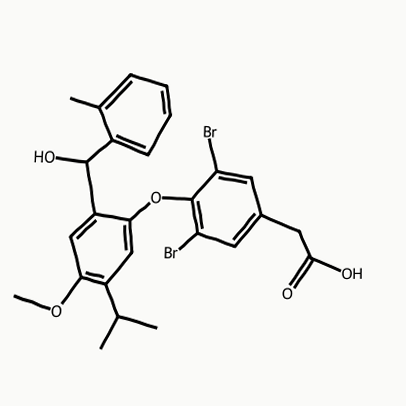 COc1cc(C(O)c2ccccc2C)c(Oc2c(Br)cc(CC(=O)O)cc2Br)cc1C(C)C